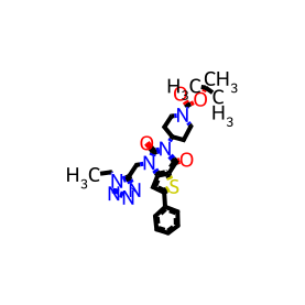 CCn1nnnc1Cn1c(=O)n(C2CCN(C(=O)OC(C)(C)C)CC2)c(=O)c2sc(-c3ccccc3)cc21